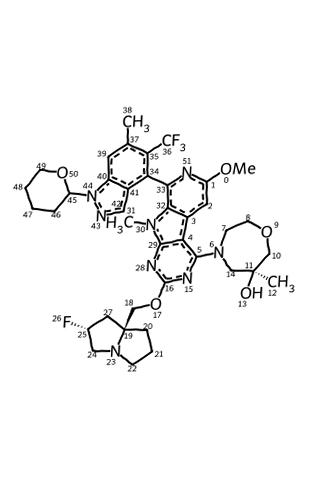 COc1cc2c3c(N4CCOC[C@@](C)(O)C4)nc(OC[C@@]45CCCN4C[C@H](F)C5)nc3n(C)c2c(-c2c(C(F)(F)F)c(C)cc3c2cnn3C2CCCCO2)n1